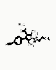 CCCS(=O)(=O)n1c(C)c(C(=O)OC)c(-c2ccc(C#N)cc2)c1C